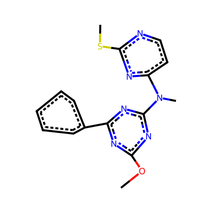 COc1nc(-c2ccccc2)nc(N(C)c2ccnc(SC)n2)n1